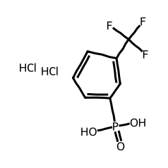 Cl.Cl.O=P(O)(O)c1cccc(C(F)(F)F)c1